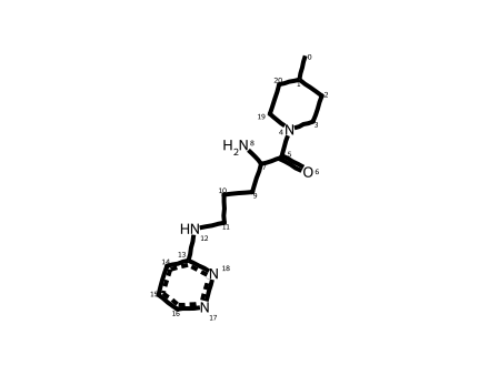 CC1CCN(C(=O)C(N)CCCNc2cccnn2)CC1